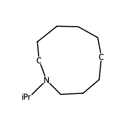 CC(C)N1CCCCCCCCC1